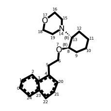 c1ccc2c(CCO[C@@H]3CCCC[C@H]3N3CCOCC3)cccc2c1